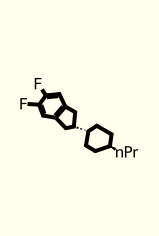 CCC[C@H]1CC[C@H](C2Cc3cc(F)c(F)cc3C2)CC1